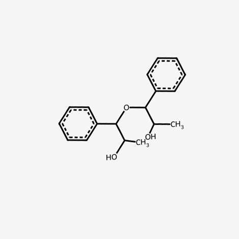 CC(O)C(OC(c1ccccc1)C(C)O)c1ccccc1